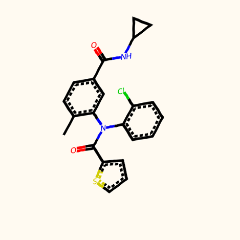 Cc1ccc(C(=O)NC2CC2)cc1N(C(=O)c1cccs1)c1ccccc1Cl